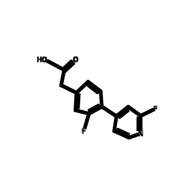 O=C(O)Cc1ccc(-c2ccnc(F)c2)c(F)c1